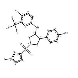 Cn1cnc(S(=O)(=O)N2CC(Nc3ccc(F)c(C(F)(F)F)c3)C(c3ccc(F)cc3)C2)c1